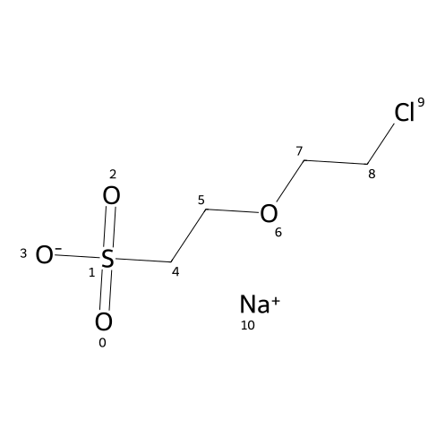 O=S(=O)([O-])CCOCCCl.[Na+]